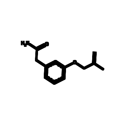 C=C(C)COc1cccc(CC(N)=O)c1